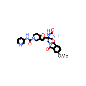 COc1ccc2c(c1)C(=O)N(C[C@@]1(c3cc4c(o3)CCN(C(=O)Nc3cccnc3)C4)NC(=O)NC1=O)C2